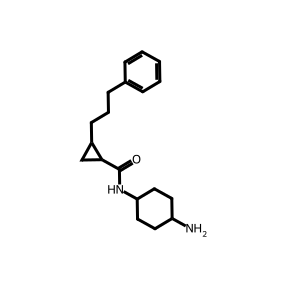 NC1CCC(NC(=O)C2CC2CCCc2ccccc2)CC1